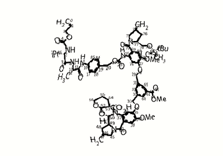 C=CCOC(=O)N[C@H](C(=O)N[C@@H](C)C(=O)Nc1ccc(COC(=O)Nc2cc(OCc3cc(COc4cc5c(cc4OC)C(=O)N4CC(=C)C[C@H]4[C@H](OC4CCCCO4)N5C(=O)O)cc(C(=O)OC)c3)c(OC)cc2C(=O)N2CC(=C)C[C@H]2CO[Si](C)(C)C(C)(C)C)cc1)C(C)C